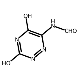 O=CNc1nnc(O)nc1O